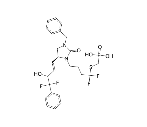 O=C1N(Cc2ccccc2)C[C@H](/C=C/C(O)C(F)(F)c2ccccc2)N1CCCC(F)(F)SCP(=O)(O)O